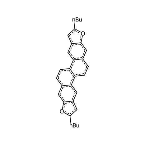 CCCCc1cc2cc3c(ccc4c5cc6cc(CCCC)oc6cc5ccc34)cc2o1